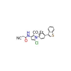 CCOC(=O)c1c(NC(=O)CC#N)cc(Cl)n1-c1ccc(-c2csc3ccccc23)cc1